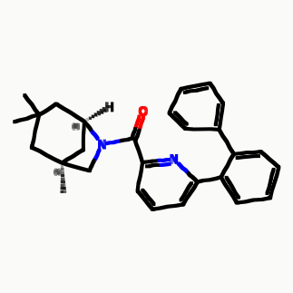 CC1(C)C[C@@H]2C[C@@](C)(CN2C(=O)c2cccc(-c3ccccc3-c3ccccc3)n2)C1